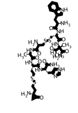 C[C@H](NC(=O)[C@@H](N)CSSC[C@H](NC(=O)[C@@H](N)Cc1c[nH]c2ccccc12)C(=O)N[C@](C)(C(N)=O)[C@@H](C)O)C(=O)N[C@@H](CCSSCC[C@]1(N)CC1=O)C(=O)N[C@@H](Cc1c[nH]cn1)C(N)=O